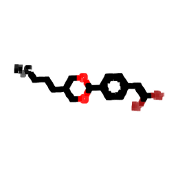 CCCCC1COC(c2ccc(C=C(Br)Br)cc2)OC1